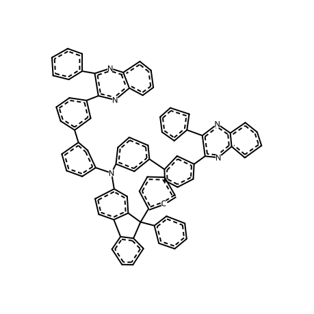 c1ccc(-c2nc3ccccc3nc2-c2cccc(-c3cccc(N(c4cccc(-c5cccc(-c6nc7ccccc7nc6-c6ccccc6)c5)c4)c4ccc5c(c4)C(c4ccccc4)(c4ccccc4)c4ccccc4-5)c3)c2)cc1